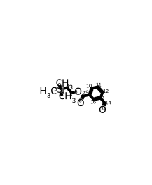 C[Si](C)(C)CCOC(=O)c1cccc(C=O)c1